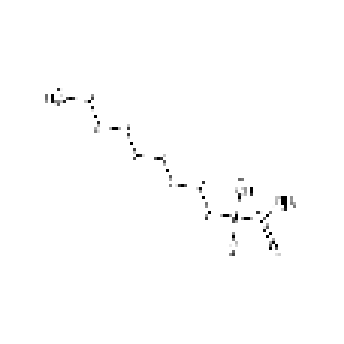 CCCCCCCCCC(O)(O)C(N)=O